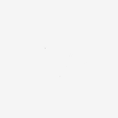 CC(C)(C=O)CCN1CCCC1